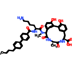 CCCCc1ccc(-c2ccc(C(=O)N[C@@H](CCCCN)C(=O)N(C)[C@@H]3C(=O)N[C@@H](C)C(=O)N[C@H](C(=O)O)Cc4ccc(O)c(c4)-c4cc3ccc4O)cc2)cc1